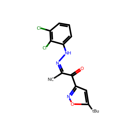 CC(C)(C)c1cc(C(=O)C(C#N)=NNc2cccc(Cl)c2Cl)no1